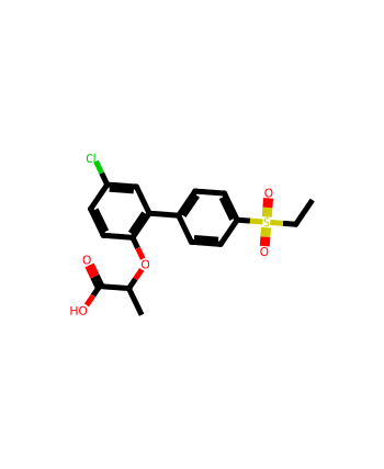 CCS(=O)(=O)c1ccc(-c2cc(Cl)ccc2OC(C)C(=O)O)cc1